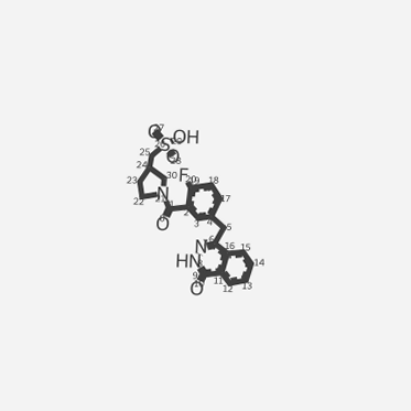 O=C(c1cc(Cc2n[nH]c(=O)c3ccccc23)ccc1F)N1CCC(CS(=O)(=O)O)C1